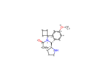 COC(=O)N(C[C@@H]1CCCN1)C1(c2cccc(OC(F)(F)F)c2)CCC1